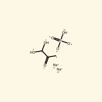 CC(=O)C(O)O.O=P([O-])([O-])O.[Na+].[Na+]